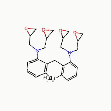 Cc1cccc(N(CC2CO2)CC2CO2)c1Cc1c(C)cccc1N(CC1CO1)CC1CO1